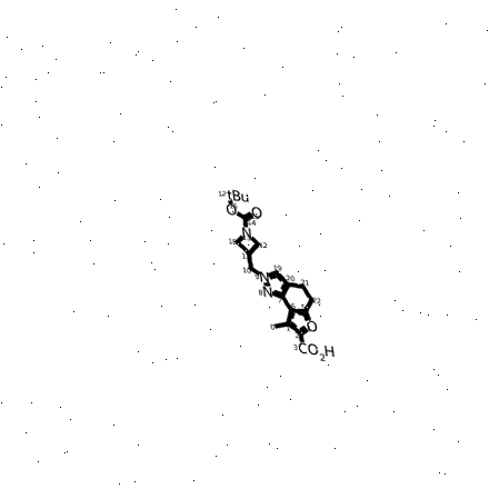 Cc1c(C(=O)O)oc2c1-c1nn(CC3CN(C(=O)OC(C)(C)C)C3)cc1CC2